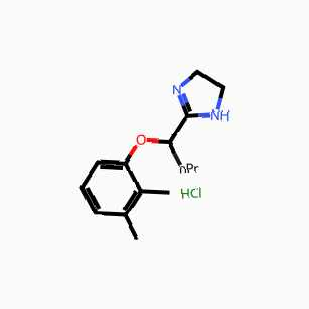 CCCC(Oc1cccc(C)c1C)C1=NCCN1.Cl